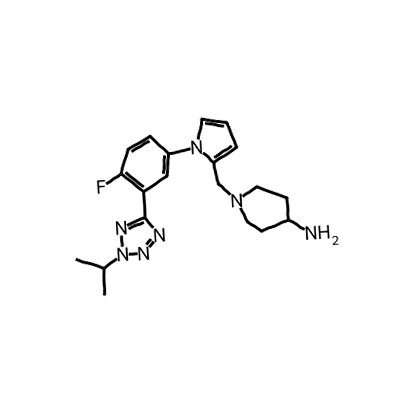 CC(C)n1nnc(-c2cc(-n3cccc3CN3CCC(N)CC3)ccc2F)n1